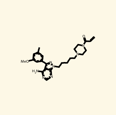 C=CC(=O)N1CCN(CCCCCn2nc(-c3cc(C)cc(OC)c3)c3c(N)ncnc32)CC1